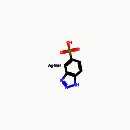 O=S(=O)(O)c1ccc2[nH]nnc2c1.[Ag].[NaH]